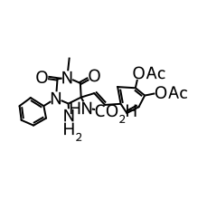 CC(=O)Oc1ccc(C=CC2(NC(=O)O)C(=O)N(C)C(=O)N(c3ccccc3)C2N)cc1OC(C)=O